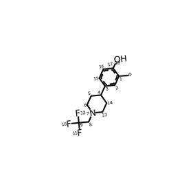 Cc1cc(C2CCN(CC(F)(F)F)CC2)ccc1O